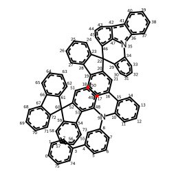 c1ccc(-c2cccc(N(c3ccccc3-c3ccc4c(c3)C3(c5ccccc5-4)c4ccccc4-n4c5ccccc5c5cccc3c54)c3cccc4c3-c3ccccc3C43c4ccccc4-c4ccccc43)c2)cc1